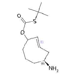 CC(C)(C)SC(=O)OC1/C=C/C[C@@H](N)CCC1